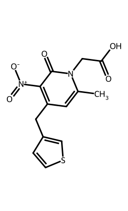 Cc1cc(Cc2ccsc2)c([N+](=O)[O-])c(=O)n1CC(=O)O